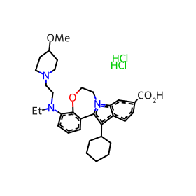 CCN(CCN1CCC(OC)CC1)c1cccc2c1OCCn1c-2c(C2CCCCC2)c2ccc(C(=O)O)cc21.Cl.Cl